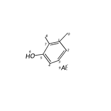 Cc1cccc(O)c1C.[Al]